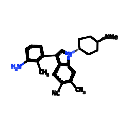 CN[C@H]1CC[C@H](n2cc(-c3cccc(N)c3C)c3cc(C#N)c(C)cc32)CC1